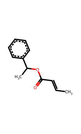 C/C=C/C(=O)OC(C)c1ccccc1